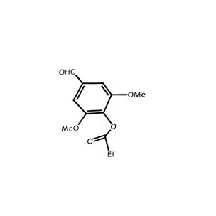 CCC(=O)Oc1c(OC)cc(C=O)cc1OC